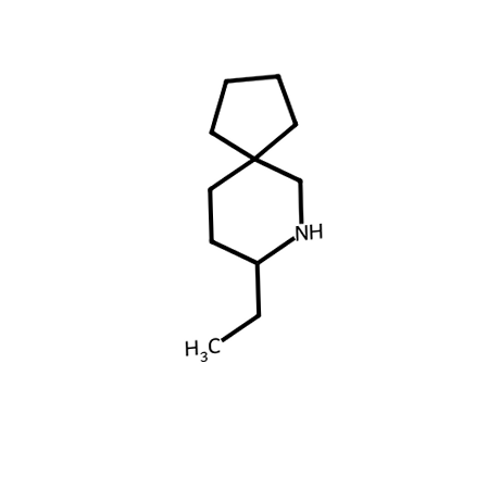 CCC1CCC2(CCCC2)CN1